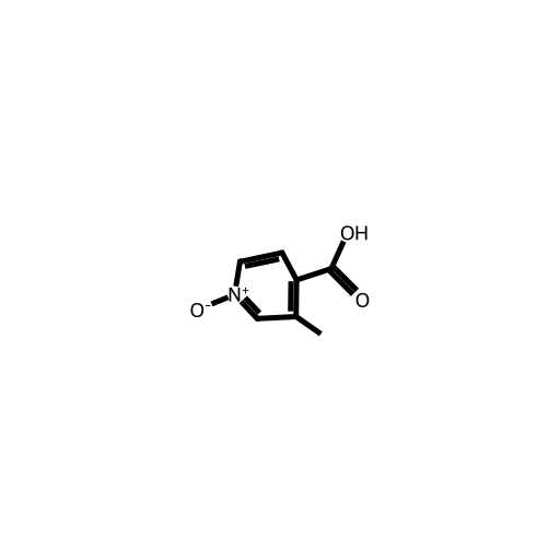 Cc1c[n+]([O-])ccc1C(=O)O